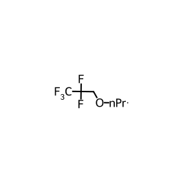 CC[CH]OCC(F)(F)C(F)(F)F